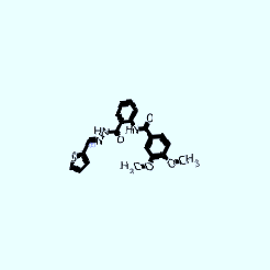 COc1ccc(C(=O)Nc2ccccc2C(=O)N/N=C/c2cccs2)cc1OC